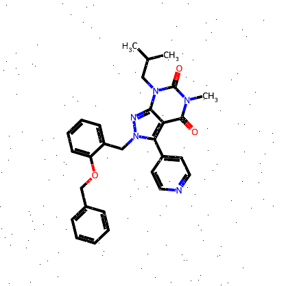 CC(C)Cn1c(=O)n(C)c(=O)c2c(-c3ccncc3)n(Cc3ccccc3OCc3ccccc3)nc21